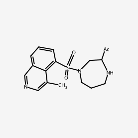 CC(=O)C1CN(S(=O)(=O)c2cccc3cncc(C)c23)CCCN1